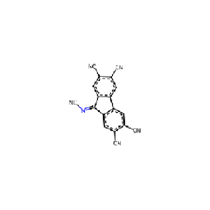 N#CN=C1c2cc(C#N)c(C#N)cc2-c2cc(C#N)c(C#N)cc21